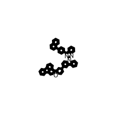 C1=CC(c2ccc3c(c2)c2ccccc2n3-c2nc(-c3ccc(-c4cccc5ccccc45)cc3)c3ccccc3n2)Cc2c1oc1cc3c4c(cccc4c21)-c1ccccc1-3